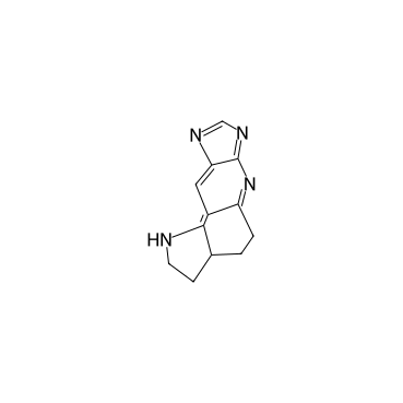 C1=Nc2cc3c(nc2=N1)CCC1CCNC=31